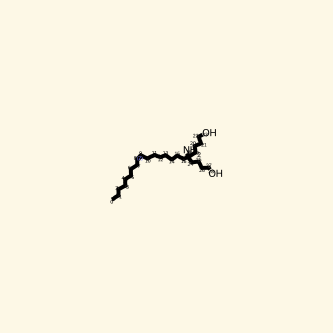 CCCCCCCC/C=C\CCCCCCCC(N)(CCCCO)CCCCO